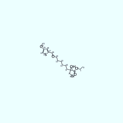 CCOC(=O)C(O)(CBr)CCCCCCOCc1cc(OC)cs1